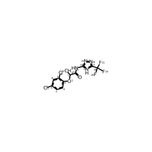 CC(Oc1ccc(Cl)cc1Cl)C(=O)Nc1nnc(C(F)(F)F)[nH]1